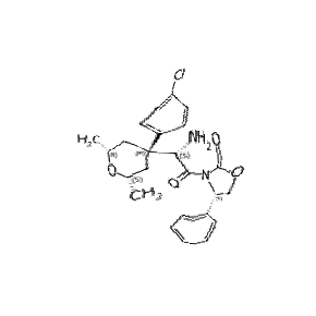 C[C@@H]1C[C@](c2ccc(Cl)cc2)([C@H](N)C(=O)N2C(=O)OC[C@@H]2c2ccccc2)C[C@H](C)O1